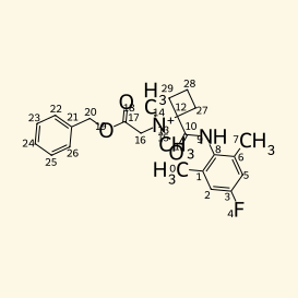 Cc1cc(F)cc(C)c1NC(=O)C1([N+](C)(C)CC(=O)OCc2ccccc2)CCC1